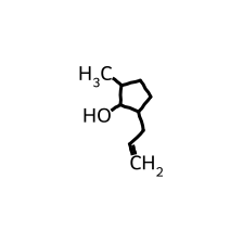 C=CCC1CCC(C)C1O